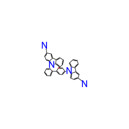 N#Cc1ccc2c(c1)c1ccccc1n2-c1ccc(-c2ccccc2-n2c3ccccc3c3cc(C#N)ccc32)cc1